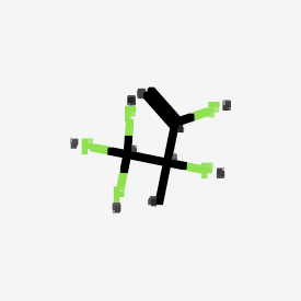 C=C(F)C(C)(F)C(F)(F)F